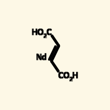 O=C(O)C=CC(=O)O.[Nd]